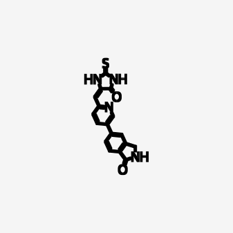 O=C1NC(=S)NC1=Cc1ccc(-c2ccc3c(c2)CNC3=O)cn1